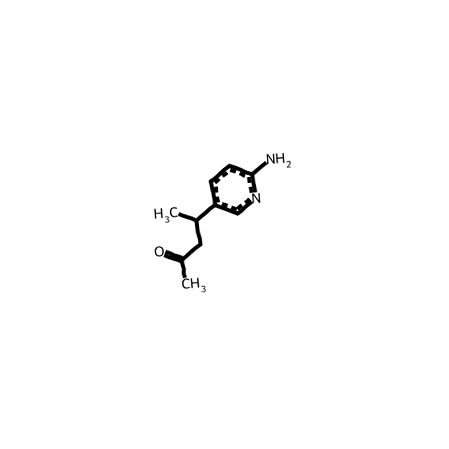 CC(=O)CC(C)c1ccc(N)nc1